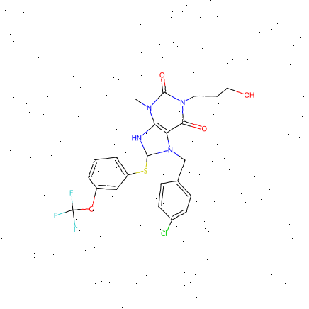 Cn1c2c(c(=O)n(CCCO)c1=O)N(Cc1ccc(Cl)cc1)C(Sc1cccc(OC(F)(F)F)c1)N2